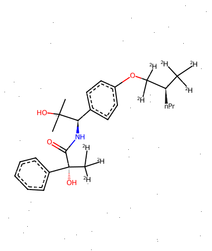 [2H]C([2H])([2H])[C@@H](CCC)C([2H])([2H])Oc1ccc([C@@H](NC(=O)[C@](O)(c2ccccc2)C([2H])([2H])[2H])C(C)(C)O)cc1